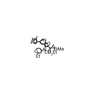 CCOC(=O)N(c1c(C(=O)N(C)OC)oc2ncc(-c3cn(C)nc3C)cc12)[C@H]1CCO[C@@H](CC)C1